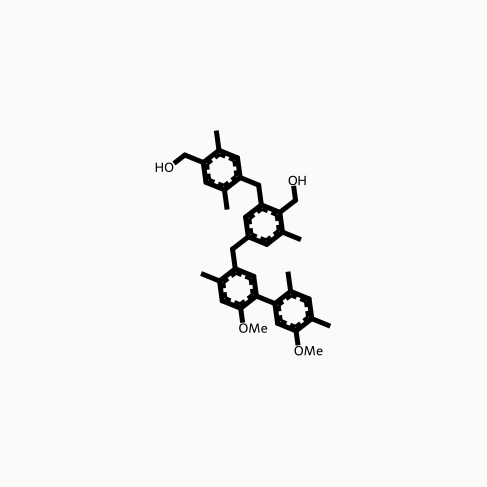 COc1cc(-c2cc(Cc3cc(C)c(CO)c(Cc4cc(C)c(CO)cc4C)c3)c(C)cc2OC)c(C)cc1C